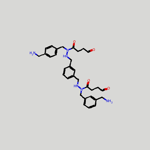 NCc1ccc(CN(NCc2cccc(CNN(Cc3cccc(CN)c3)C(=O)CCC=O)c2)C(=O)CCC=O)cc1